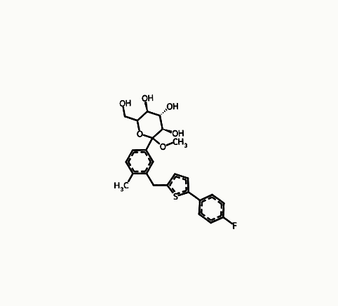 COC1(c2ccc(C)c(Cc3ccc(-c4ccc(F)cc4)s3)c2)OC(CO)[C@@H](O)[C@H](O)[C@H]1O